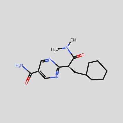 CN(C#N)C(=O)[C@@H](CC1CCCCC1)c1ncc(C(N)=O)cn1